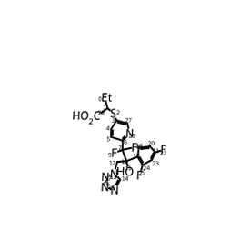 CCC(Sc1ccc(C(F)(F)C(O)(Cn2cnnn2)c2ccc(F)cc2F)nc1)C(=O)O